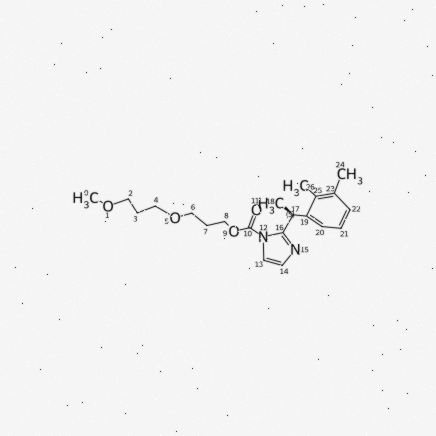 COCCCOCCCOC(=O)n1ccnc1[C@@H](C)c1cccc(C)c1C